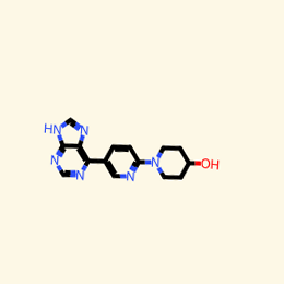 OC1CCN(c2ccc(-c3ncnc4[nH]cnc34)cn2)CC1